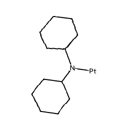 [Pt][N](C1CCCCC1)C1CCCCC1